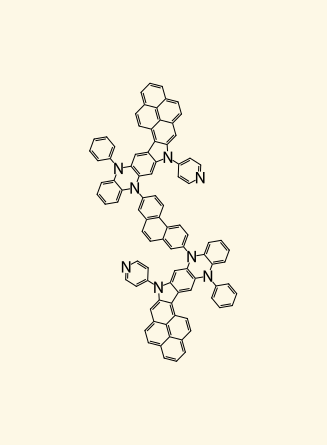 c1ccc(-n2c3ccccc3n(-c3ccc4c(ccc5cc(-n6c7ccccc7n(-c7ccccc7)c7cc8c9c%10ccc%11cccc%12ccc(cc9n(-c9ccncc9)c8cc76)c%10c%12%11)ccc54)c3)c3cc4c(cc32)c2c3ccc5cccc6ccc(cc2n4-c2ccncc2)c3c65)cc1